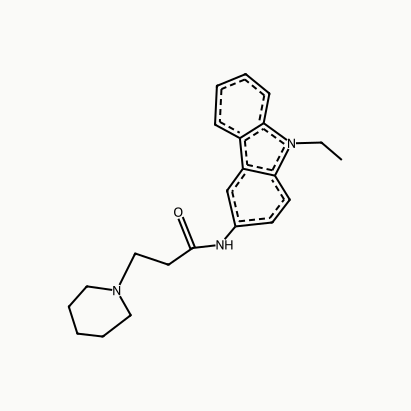 CCn1c2ccccc2c2cc(NC(=O)CCN3CCCCC3)ccc21